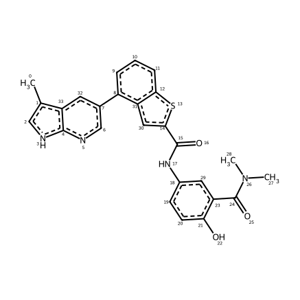 Cc1c[nH]c2ncc(-c3cccc4sc(C(=O)Nc5ccc(O)c(C(=O)N(C)C)c5)cc34)cc12